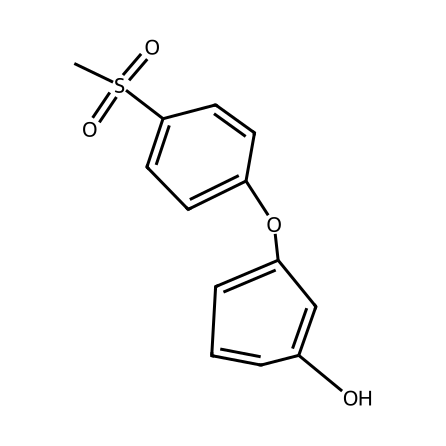 CS(=O)(=O)c1ccc(Oc2cccc(O)c2)cc1